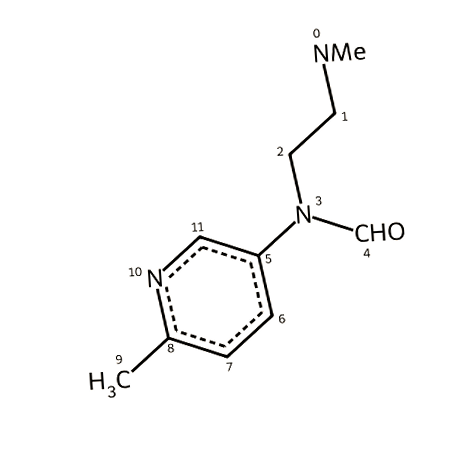 CNCCN(C=O)c1ccc(C)nc1